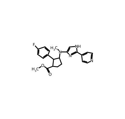 COC(=O)C1CCC(N(C)c2c[nH]c(-c3ccncc3)n2)C1c1ccc(F)cc1